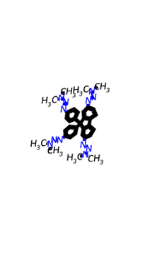 CN(C)N=Nc1ccc(C2(c3ccc(N=NN(C)C)cc3)c3cc(N=NN(C)C)ccc3-c3ccc(N=NN(C)C)cc32)cc1